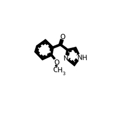 COc1ccccc1C(=O)c1c[nH]cn1